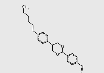 CCCCCCc1ccc(C2COC(c3ccc(N=C=S)cc3)OC2)cc1